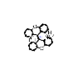 C[n+]1cccc2c1/C(=C1\c3ccccc3Oc3ccc[n+](C)c31)c1ccccc1O2